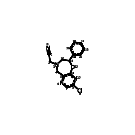 N#CCN1Cc2ncc(Cl)nc2OC(c2ccccc2)C1